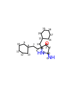 N=C1CC(=O)[C@@](CCC2CCCCC2)(CC2CCCCC2)N1